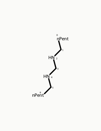 CCCCCCNCNCCCCCC